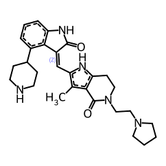 Cc1c(/C=C2\C(=O)Nc3cccc(C4CCNCC4)c32)[nH]c2c1C(=O)N(CCN1CCCC1)CC2